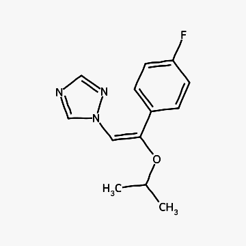 CC(C)OC(=Cn1cncn1)c1ccc(F)cc1